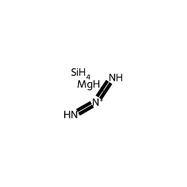 N=[N+]=N.[MgH2].[SiH4]